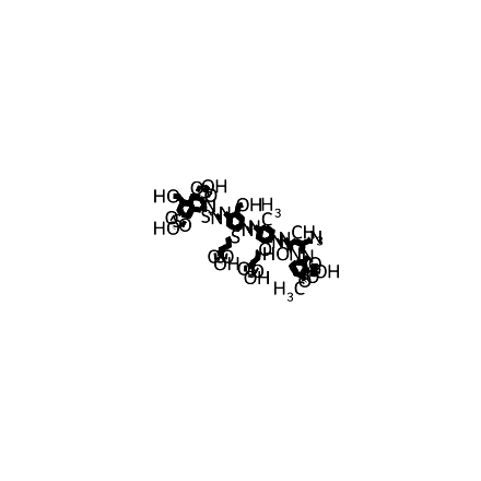 COc1ccc2c(nc3c(C#N)c(C)c(N=Nc4cc(C)c(N=Nc5cc(CO)c(N=Nc6nc7c(S(=O)(=O)O)cc8c(CO)cc(S(=O)(=O)O)cc8c7s6)cc5SCCCS(=O)(=O)O)cc4OCCCS(=O)(=O)O)c(O)n32)c1S(=O)(=O)O